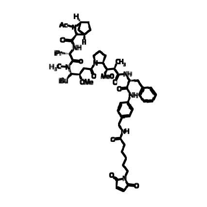 CC[C@H](C)[C@@H]([C@@H](CC(=O)N1CCC[C@H]1[C@H](OC)[C@@H](C)C(=O)N[C@@H](Cc1ccccc1)C(=O)Nc1ccc(CNC(=O)CCCCCN2C(=O)C=CC2=O)cc1)OC)N(C)C(=O)[C@@H](NC(=O)[C@@H]1[C@H]2CC[C@@H](C2)N1C(C)=O)C(C)C